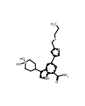 CCCSCc1cc(-c2cc(C(N)=O)c3[nH]cc(C4CCS(O)(O)CC4)c3c2)cs1